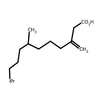 C=C(CCCC(C)CCCC(C)C)CC(=O)O